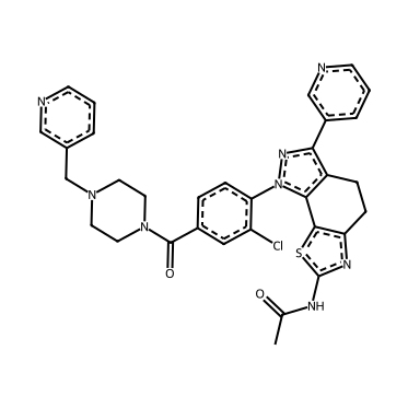 CC(=O)Nc1nc2c(s1)-c1c(c(-c3cccnc3)nn1-c1ccc(C(=O)N3CCN(Cc4cccnc4)CC3)cc1Cl)CC2